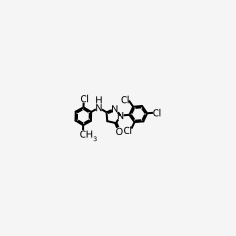 Cc1ccc(Cl)c(NC2=NN(c3c(Cl)cc(Cl)cc3Cl)C(=O)C2)c1